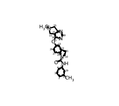 Cc1cccc(NC(=O)n2ccc3cc(Oc4ncnc5c4CN(C)C5)ccc32)c1